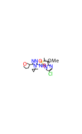 CO[C@H](c1ncc(Cl)cn1)[C@H](C)S(=O)(=O)Nc1nnc(C2CCCOC2)n1C1(C)CC1